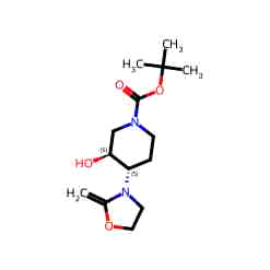 C=C1OCCN1[C@H]1CCN(C(=O)OC(C)(C)C)C[C@@H]1O